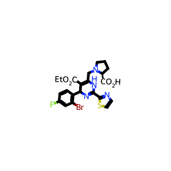 CCOC(=O)C1=C(CN2CCC[C@H]2C(=O)O)NC(c2nccs2)=NC1c1ccc(F)cc1Br